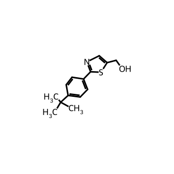 CC(C)(C)c1ccc(-c2ncc(CO)s2)cc1